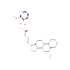 CCc1ncccc1S(=O)(=O)NC(=O)CC[C@@H](C)[C@H]1CCC2C3C[C@H](CC)[C@@H]4CCCC[C@]4(C)C3CC[C@@]21C